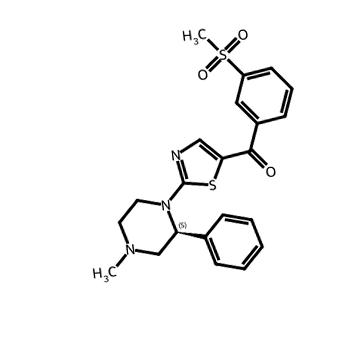 CN1CCN(c2ncc(C(=O)c3cccc(S(C)(=O)=O)c3)s2)[C@@H](c2ccccc2)C1